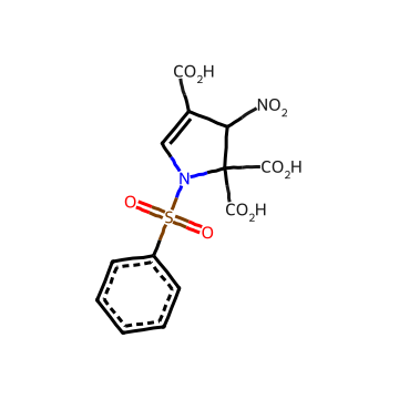 O=C(O)C1=CN(S(=O)(=O)c2ccccc2)C(C(=O)O)(C(=O)O)C1[N+](=O)[O-]